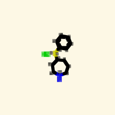 Cl.c1ccc(SC2CCCNCC2)cc1